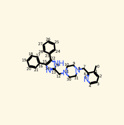 Cc1cccnc1CN1CCN(Cc2nc(-c3ccccc3)c(-c3ccccc3)[nH]2)CC1